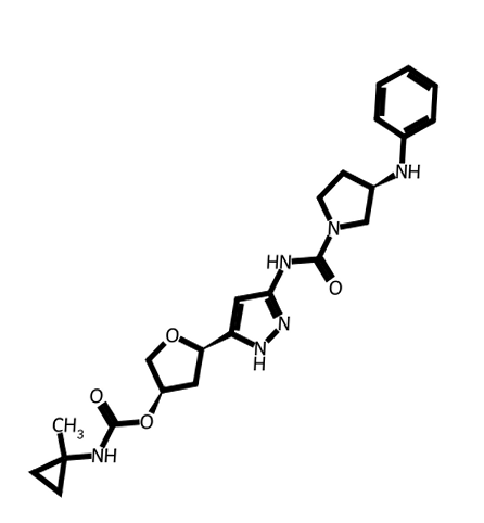 CC1(NC(=O)O[C@H]2CO[C@@H](c3cc(NC(=O)N4CC[C@@H](Nc5ccccc5)C4)n[nH]3)C2)CC1